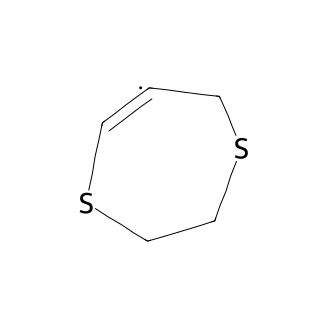 [C]1=CSCCSC1